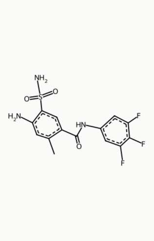 Cc1cc(N)c(S(N)(=O)=O)cc1C(=O)Nc1cc(F)c(F)c(F)c1